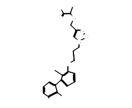 [2H]c1cccc(-c2cccc(OCCCn3cc(CNC(C)C(=O)O)nn3)c2C)c1C